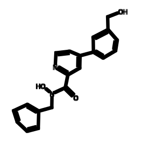 O=C(c1cc(-c2cccc(CO)c2)ccn1)N(O)Cc1ccccc1